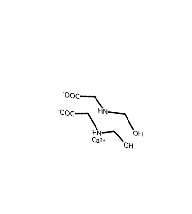 O=C([O-])CNCO.O=C([O-])CNCO.[Ca+2]